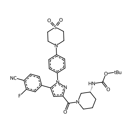 CC(C)(C)OC(=O)N[C@@H]1CCCN(C(=O)c2cc(-c3ccc(C#N)c(F)c3)n(-c3ccc(N4CCS(=O)(=O)CC4)cc3)n2)C1